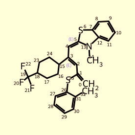 C=C(/C=C(/C=C1/Sc2ccccc2N1C)C1CCC(C(F)(F)F)CC1)Sc1ccccc1C